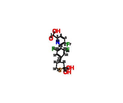 O=C(O)c1ccc(F)c(-c2c(F)cc(C3CCSC(O)(O)C3)cc2F)n1